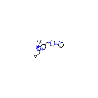 FC(F)(F)c1c(CN2CCN(c3ccccn3)CC2)ccn2c(CC3CC3)nnc12